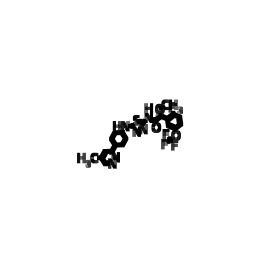 CO[C@H](C(=O)Nc1nnc(NC2CCC(c3cc(C)cnn3)CC2)s1)c1cc(OC(F)(F)F)ccc1F